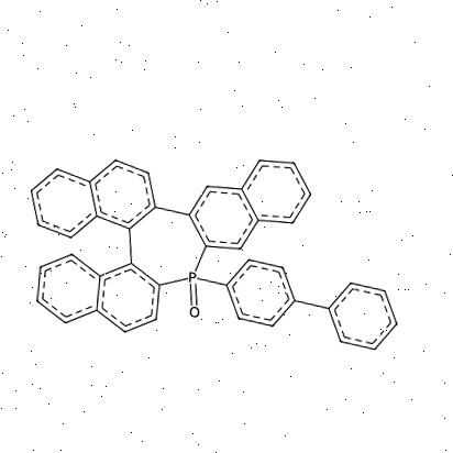 O=P1(c2ccc(-c3ccccc3)cc2)c2cc3ccccc3cc2-c2ccc3ccccc3c2-c2c1ccc1ccccc21